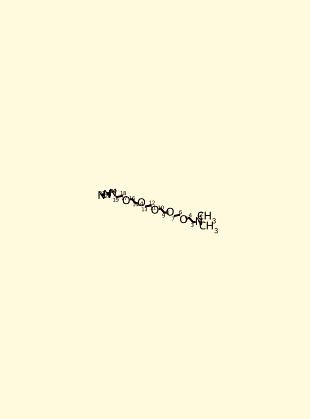 CN(C)CCOCCOCCOCCOCCOCCN=[N+]=[N-]